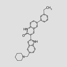 CCc1cccc(-c2ccc3[nH]c(=O)c(-c4cc5cc(CN6CCCCC6)ccc5[nH]4)cc3c2)c1